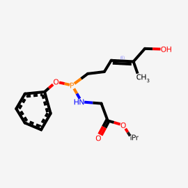 C/C(=C\CCP(NCC(=O)OC(C)C)Oc1ccccc1)CO